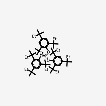 CCC(C)(C)c1cc(C(C)(C)CC)c(OP(Oc2c(C(C)(C)CC)cc(C(C)(C)CC)cc2C(C)(C)CC)Oc2c(C(C)(C)CC)cc(C(C)(C)CC)cc2C(C)(C)CC)c(C(C)(C)CC)c1